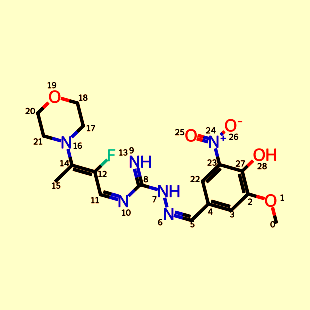 COc1cc(/C=N\NC(=N)/N=C\C(F)=C(/C)N2CCOCC2)cc([N+](=O)[O-])c1O